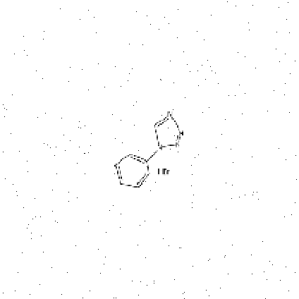 Br.c1ccc(-n2cnnn2)cc1